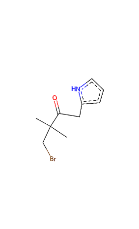 CC(C)(CBr)C(=O)Cc1ccc[nH]1